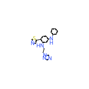 c1ccc(Nc2ccc(-c3cncs3)c(NCCn3cncn3)c2)cc1